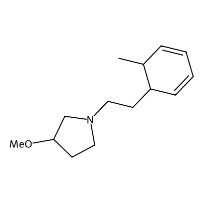 COC1CCN(CCC2C=CC=CC2C)C1